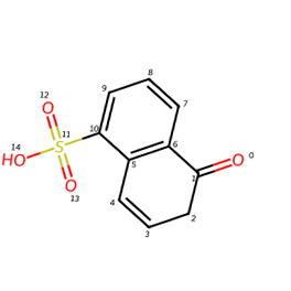 O=C1CC=Cc2c1cccc2S(=O)(=O)O